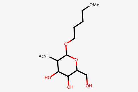 COCCCCOC1OC(CO)C(O)C(O)C1NC(C)=O